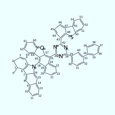 CC1CC=Cc2c1c1cc3ccccc3cc1n2-c1c2ccccc2c(-c2nc(-c3cccc(-c4ccccc4)c3)nc(-c3cccc4c3sc3ccccc34)n2)c2oc3ccccc3c12